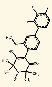 CCc1cc(-c2ccc(F)c(F)c2F)ccc1C1=C(O)C(C)(C)[S+]([O-])C(C)(C)C1=O